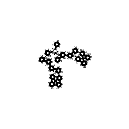 c1ccc(-c2nc(-c3cccc(-n4c5ccccc5c5cc(-c6ccc7c(c6)c6ccccc6n7-c6ccc7c(c6)C(c6ccccc6)(c6ccccc6)c6ccccc6-7)ccc54)c3)nc(-n3c4ccccc4c4cc(-c5ccc6c(c5)c5ccccc5n6-c5ccc6c(c5)C(c5ccccc5)(c5ccccc5)c5ccccc5-6)ccc43)n2)cc1